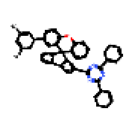 N#CC1=CC(c2ccc3c(c2)C2(c4ccccc4O3)c3ccccc3-c3ccc(-c4nc(C5=CCCC=C5)nc(C5=CC=CCC5)n4)cc32)CC(C#N)=C1